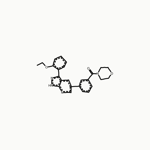 CCOc1ccccc1-c1n[nH]c2ncc(-c3cccc(C(=O)N4CCOCC4)c3)cc12